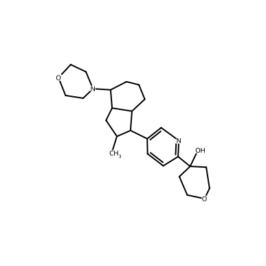 CC1CC2C(CCCC2N2CCOCC2)C1c1ccc(C2(O)CCOCC2)nc1